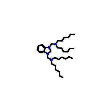 CCCCCCN(CCCCCC)CN1CN(CN(CCCCCC)CCCCCC)c2ccccc21